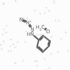 C=O.[N-]=[N+]=NNc1ccccc1